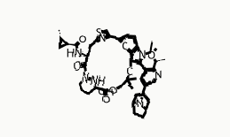 CCn1c(-c2cc(C3CC4CCC(C3)N4C)cnc2[C@H](C)OC)c2c3cc(ccc31)-c1csc(n1)C[C@H](NC(=O)[C@H]1C[C@@H]1C)C(=O)N1CCC[C@@](O)(N1)C(=O)OCC(C)(C)C2